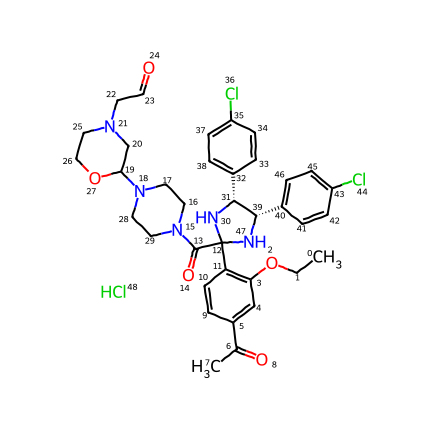 CCOc1cc(C(C)=O)ccc1C1(C(=O)N2CCN(C3CN(CC=O)CCO3)CC2)N[C@H](c2ccc(Cl)cc2)[C@H](c2ccc(Cl)cc2)N1.Cl